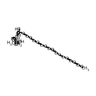 COCCOCCOCCOCCOCCOCCOCCOCCOCCOCCOCCOCCOCCOCCOCCOCCOCCc1cc(NC[C@@H](C=O)NC(=O)[C@@H](NC(=O)O)C(C)C)ccc1CO